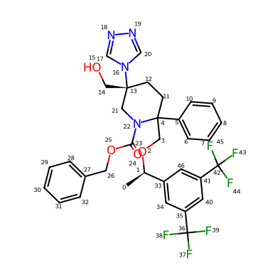 C[C@@H](OCC1(c2ccccc2)CC[C@@](CO)(n2cnnc2)CN1C(=O)OCc1ccccc1)c1cc(C(F)(F)F)cc(C(F)(F)F)c1